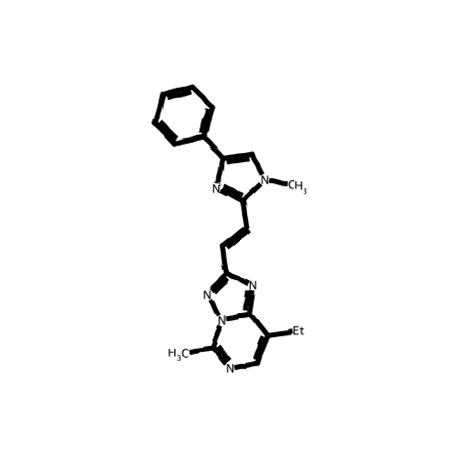 CCc1cnc(C)n2nc(/C=C/c3nc(-c4ccccc4)cn3C)nc12